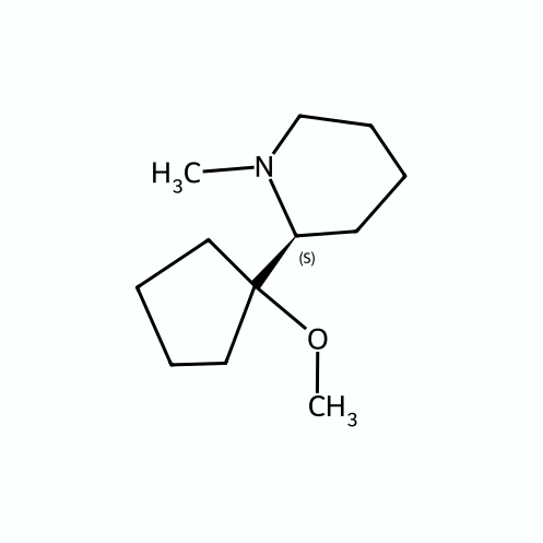 COC1([C@@H]2CCCCN2C)CCCC1